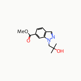 COC(=O)c1ccc2cnn(CC(C)(C)O)c2c1